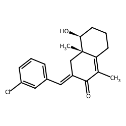 CC1=C2CCC[C@H](O)[C@@]2(C)C/C(=C\c2cccc(Cl)c2)C1=O